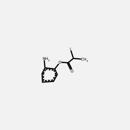 CC(I)C(=O)Oc1ccccc1N